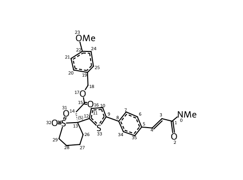 CNC(=O)C=Cc1ccc(-c2ccc([C@@]3(CC(=O)OCc4ccc(OC)cc4)CCCCS3(=O)=O)s2)cc1